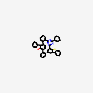 c1ccc(-c2nc(-c3ccccc3-c3ccc(-c4ccccc4)c4oc5ccccc5c34)nc(-c3cccc4c3sc3ccccc34)n2)cc1